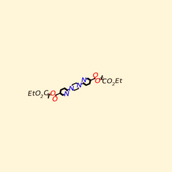 CCOC(=O)[C@H](C)OC(=O)c1ccc(N2CCN(c3ccc(C(=O)O[C@@H](C)C(=O)OCC)cn3)CC2)nc1